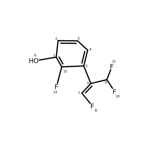 Oc1cccc(C(=CF)C(F)F)c1F